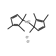 CC1=C(C)[C](C)([Hf+2][C]2(C)C=CC(C)=C2C)C=C1.[Cl-].[Cl-]